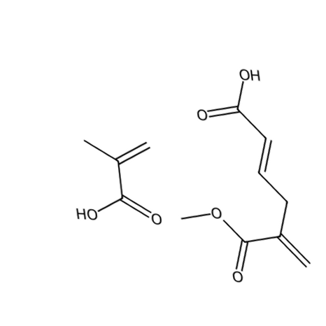 C=C(C)C(=O)O.C=C(CC=CC(=O)O)C(=O)OC